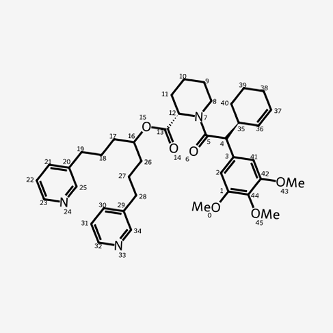 COc1cc(C(C(=O)N2CCCC[C@H]2C(=O)OC(CCCc2cccnc2)CCCc2cccnc2)[C@@H]2C=CCCC2)cc(OC)c1OC